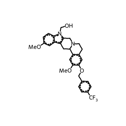 COc1ccc2c(c1)c1c(n2CO)CN2CCc3cc(OCc4ccc(C(F)(F)F)cc4)c(OC)cc3C2C1